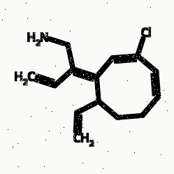 C=C/C(CN)=C1/C=C(Cl)\C=C/CCC1C=C